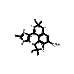 COc1cc2c(c3c1OC(C)(C)C3)C(c1csc(C)n1)=NC(C)(C)C2